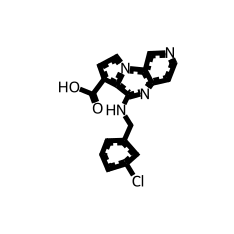 O=C(O)c1ccn2c1c(NCc1cccc(Cl)c1)nc1ccncc12